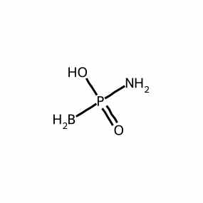 BP(N)(=O)O